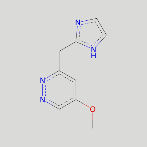 COc1cnnc(Cc2ncc[nH]2)c1